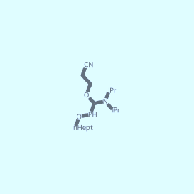 CCCCCCCOPC(OCCC#N)N(C(C)C)C(C)C